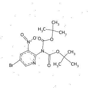 CC(C)(C)OC(=O)N(C(=O)OC(C)(C)C)c1ncc(Br)cc1[N+](=O)[O-]